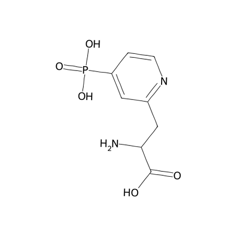 NC(Cc1cc(P(=O)(O)O)ccn1)C(=O)O